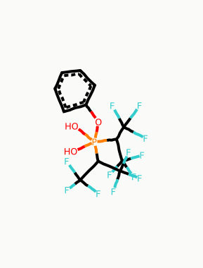 OP(O)(Oc1ccccc1)(C(C(F)(F)F)C(F)(F)F)C(C(F)(F)F)C(F)(F)F